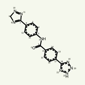 O=C(Nc1ccc(C2=NCN=N2)cc1)c1ccc(-c2nn[nH]n2)cc1